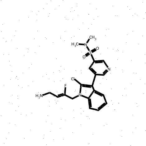 CN(C)S(=O)(=O)c1cncc(-c2c(Cl)n(CC(F)=CCN)c3ccccc23)c1